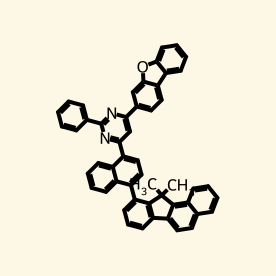 CC1(C)c2c(cccc2-c2ccc(-c3cc(-c4ccc5c(c4)oc4ccccc45)nc(-c4ccccc4)n3)c3ccccc23)-c2ccc3ccccc3c21